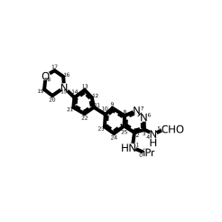 CC(C)Nc1c(NC=O)nnc2cc(-c3ccc(N4CCOCC4)cc3)ccc12